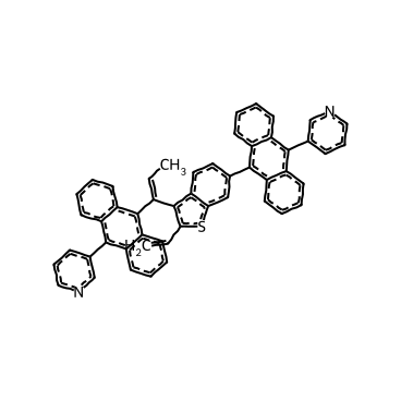 C=Cc1sc2cc(-c3c4ccccc4c(-c4cccnc4)c4ccccc34)ccc2c1/C(=C\C)c1c2ccccc2c(-c2cccnc2)c2ccccc12